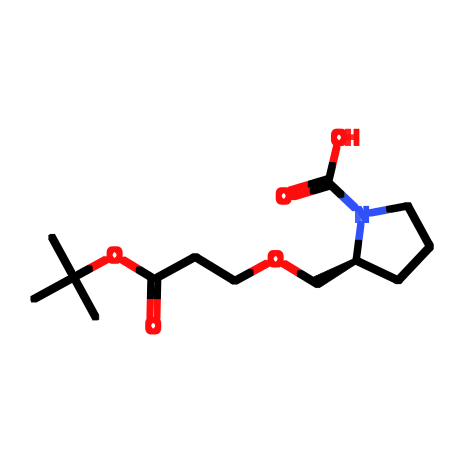 CC(C)(C)OC(=O)CCOC[C@@H]1CCCN1C(=O)O